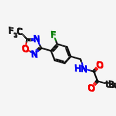 CC(C)(C)C(=O)C(=O)NCc1ccc(-c2noc(C(F)(F)F)n2)c(F)c1